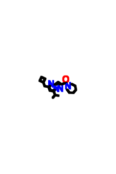 CC(C)c1cc(CC2CCC2)nc2cc(C(=O)N3CCCCCC3)nn12